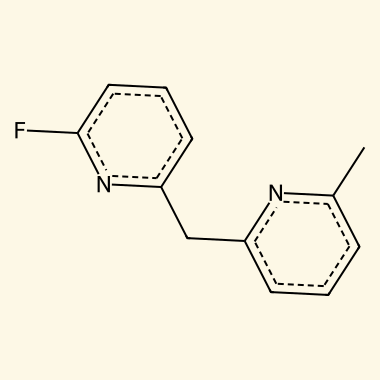 Cc1cccc(Cc2cccc(F)n2)n1